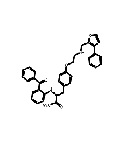 COC(=O)C(Cc1ccc(OCCNCc2sccc2-c2ccccc2)cc1)Nc1ccccc1C(=O)c1ccccc1